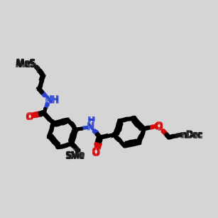 CCCCCCCCCCCOc1ccc(C(=O)Nc2cc(C(=O)NCCSC)ccc2SC)cc1